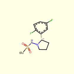 CC(C)(C)S(=O)(=O)NN1CCC[C@H]1c1cc(F)ccc1F